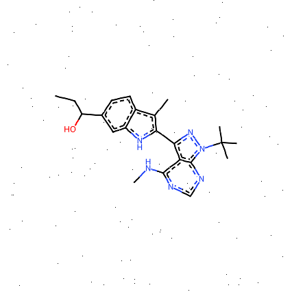 CCC(O)c1ccc2c(C)c(-c3nn(C(C)(C)C)c4ncnc(NC)c34)[nH]c2c1